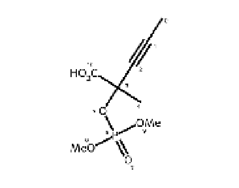 CC#CC(C)(OP(=O)(OC)OC)C(=O)O